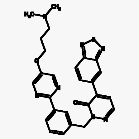 CN(C)CCCOc1cnc(-c2cccc(Cn3nccc(-c4ccc5nsnc5c4)c3=O)c2)nc1